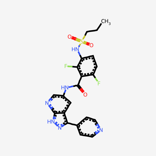 CCCS(=O)(=O)Nc1ccc(F)c(C(=O)Nc2cnc3[nH]nc(-c4ccncc4)c3c2)c1F